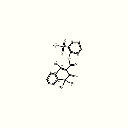 CCCCC1(CCCC)C(=O)C(C(=O)Nc2ccccc2S(N)(=O)=O)=C(O)c2ccccc21